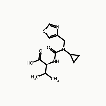 CC(C)[C@H](NC(=O)N(Cc1cscn1)C1CC1)C(=O)O